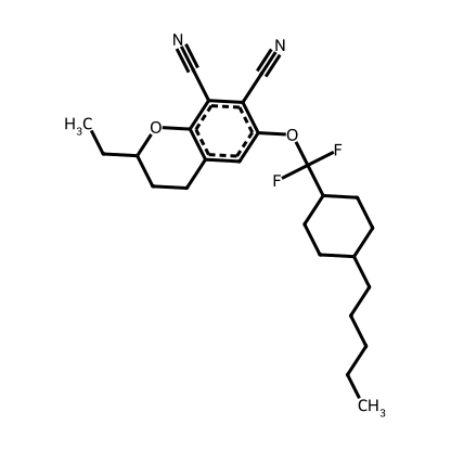 CCCCCC1CCC(C(F)(F)Oc2cc3c(c(C#N)c2C#N)OC(CC)CC3)CC1